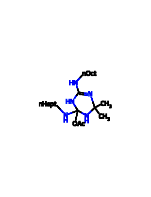 CCCCCCCCNC1=NC(C)(C)NC(NCCCCCCC)(OC(C)=O)N1